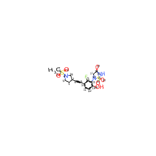 CS(=O)(=O)N1CCC(C#Cc2ccc(O)c(N3CC(=O)NS3(=O)=O)c2F)C1